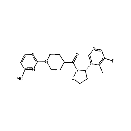 Cc1c(F)cncc1[C@@H]1CCON1C(=O)C1CCN(c2nccc(C#N)n2)CC1